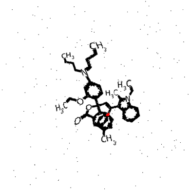 CCCCN(CCCC)c1ccc(C2(/C=C(\c3ccc(C)cc3)c3c(C)n(CC)c4ccccc34)OC(=O)c3ccccc32)c(OCC)c1